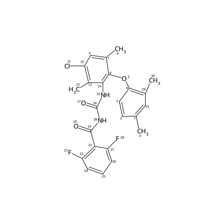 Cc1ccc(Oc2c(C)cc(Cl)c(C)c2NC(=O)NC(=O)c2c(F)cccc2F)c(C)c1